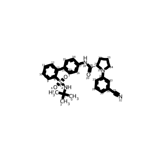 CC(C)(C)NS(=O)(=O)c1ccccc1-c1ccc(NC(=O)[C@@H]2CCCN2c2cccc(C#N)c2)cc1